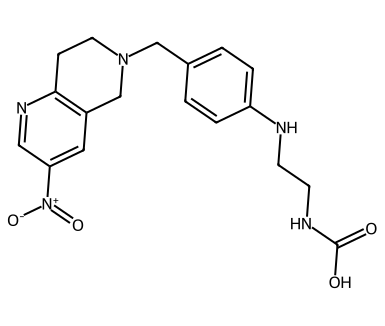 O=C(O)NCCNc1ccc(CN2CCc3ncc([N+](=O)[O-])cc3C2)cc1